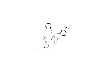 CC(C)(C)ON1C[C@H](O)C[C@H]1C(=O)N1CC(=O)N(Cc2cccc(C(F)(F)F)c2)[C@@H](CCc2ccccc2)C1